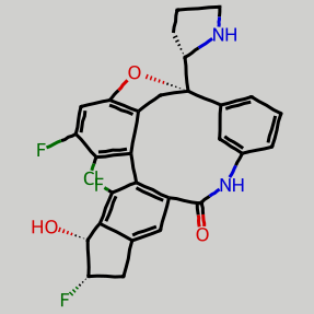 O=C1Nc2cccc(c2)[C@]2([C@@H]3CCCN3)Cc3c(cc(F)c(Cl)c3-c3c1cc1c(c3F)[C@@H](O)[C@@H](F)C1)O2